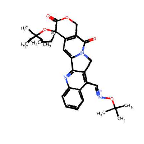 CC[C@@]1(OC(C)(C)C)C(=O)OCc2c1cc1n(c2=O)Cc2c-1nc1ccccc1c2/C=N/OC(C)(C)C